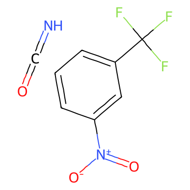 N=C=O.O=[N+]([O-])c1cccc(C(F)(F)F)c1